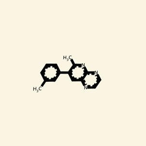 Cc1cccc(-c2cc3nccnc3nc2C)c1